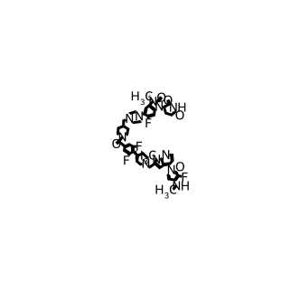 CNc1ccn(-c2ccnc3c2cc(CN2CCC(c4c(F)cc(C(=O)N5CCC(CN6CCN(c7cc8c(cc7F)n(C7CCC(=O)NC7=O)c(=O)n8C)CC6)CC5)cc4F)CC2)n3C)c(=O)c1F